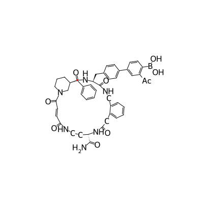 CC(=O)c1cc(-c2ccc(C[C@@H]3NC(=O)[C@]4(Cc5ccccc5)CCCN(C4)C(=O)/C=C/C(=O)NCC[C@@H](C(N)=O)NC(=O)Cc4ccccc4CNC3=O)cc2)ccc1B(O)O